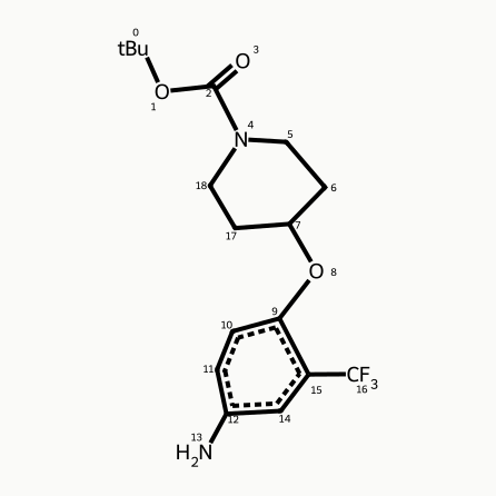 CC(C)(C)OC(=O)N1CCC(Oc2ccc(N)cc2C(F)(F)F)CC1